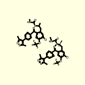 CNC(=O)N1N=C(c2ccc(-c3c(C)noc3C)cc2)c2cc(OC(F)(F)F)c(Cl)cc2CC1C.CNC(=O)N1N=C(c2ccc(-c3c(C)noc3C)cc2)c2cc(OC(F)(F)F)c(Cl)cc2C[C@@H]1C